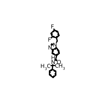 CC(C)(NC(=O)c1ccc2c(c1)ncn2Cc1ccc(F)cc1F)c1ccccc1